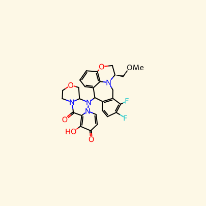 COC[C@@H]1COc2cccc3c2N1Cc1c(ccc(F)c1F)C3N1C2COCCN2C(=O)c2c(O)c(=O)ccn21